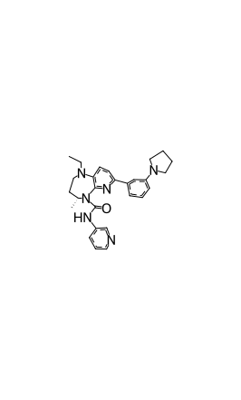 CCN1CC[C@@H](C)N(C(=O)Nc2cccnc2)c2nc(-c3cccc(N4CCCC4)c3)ccc21